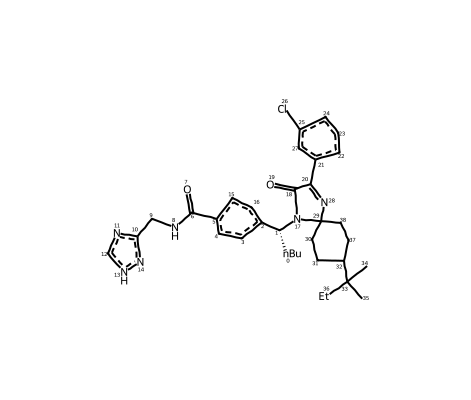 CCCC[C@H](c1ccc(C(=O)NCc2nc[nH]n2)cc1)N1C(=O)C(c2cccc(Cl)c2)=NC12CCC(C(C)(C)CC)CC2